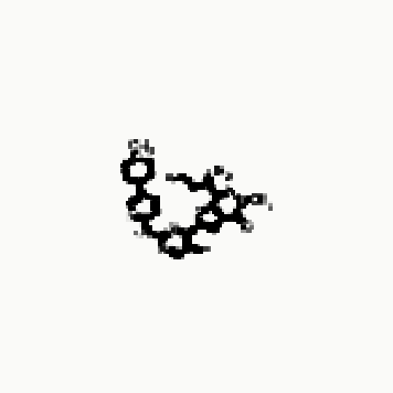 C=C(CCF)c1nn(C)c(=O)c2cc(-c3nc(Nc4ccc(C5CCN(C)CC5)cn4)ncc3F)sc12